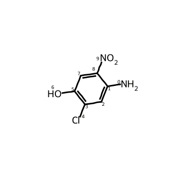 Nc1cc(Cl)c(O)cc1[N+](=O)[O-]